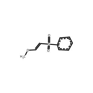 COC=CS(=O)(=O)c1ccccc1